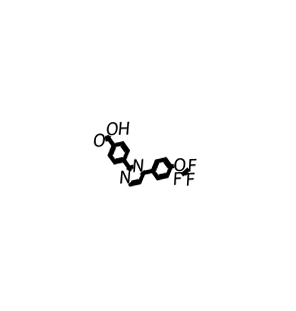 O=C(O)c1ccc(-c2nccc(-c3ccc(OC(F)(F)F)cc3)n2)cc1